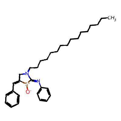 CCCCCCCCCCCCCCCCN1CC(=Cc2ccccc2)[S+]([O-])C1=Nc1ccccc1